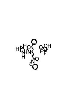 O=C(N[C@H](C=CC(=O)N1CCc2ccccc21)CCc1ccccc1)[C@H]1NC[C@H]2C[C@H]21.O=C(O)C(F)(F)F